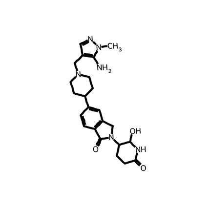 Cn1ncc(CN2CCC(c3ccc4c(c3)CN(C3CCC(=O)NC3O)C4=O)CC2)c1N